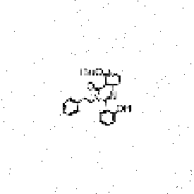 CC(C)COc1nccc2nc(-c3ccccc3O)n(CCc3ccccc3)c(=O)c12